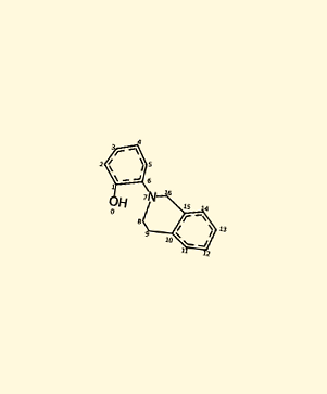 Oc1ccccc1N1CCc2ccccc2C1